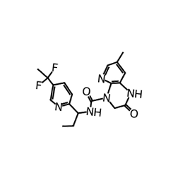 CCC(NC(=O)N1CC(=O)Nc2cc(C)cnc21)c1ccc(C(C)(F)F)cn1